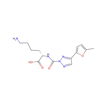 Cc1ccc(-c2cnn(C(=O)N[C@@H](CCCCN)C(=O)O)n2)o1